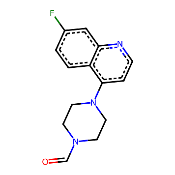 O=CN1CCN(c2ccnc3cc(F)ccc23)CC1